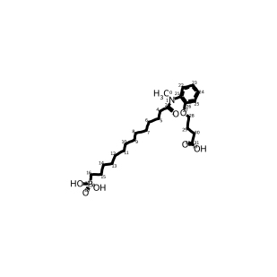 CN(C(=O)CCCCCCCCCCCCCP(=O)(O)O)c1ccccc1OCCCC(=O)O